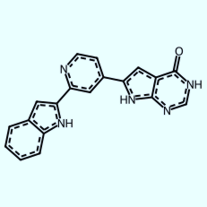 O=c1[nH]cnc2[nH]c(-c3ccnc(-c4cc5ccccc5[nH]4)c3)cc12